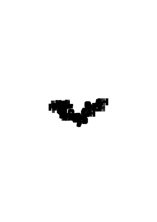 CCc1cc(NC(=O)c2ncc(Cc3c(C(F)(F)F)n[nH]c3CC(F)F)[nH]2)ccc1C(=O)N1CCN(C(=O)NCC2(O)CNC2)CC1